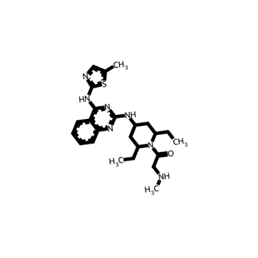 CCC1CC(Nc2nc(Nc3ncc(C)s3)c3ccccc3n2)CC(CC)N1C(=O)CNC